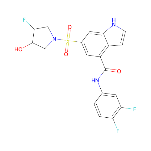 O=C(Nc1ccc(F)c(F)c1)c1cc(S(=O)(=O)N2CC(O)C(F)C2)cc2[nH]ccc12